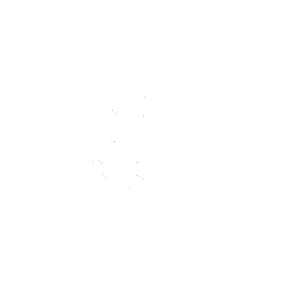 CC(c1ccccc1)N1Cc2n[nH]c(NC(=O)c3ccccn3)c2C1